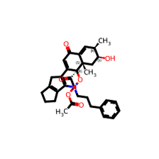 CC(=O)OCC(=O)[C@]12ON(CCCc3ccccc3)C3=C(CC4=C3CCC4)C1=CC(=O)C1=C[C@@H](C)[C@@H](O)C[C@@]12C